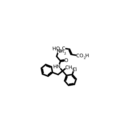 CC(Cc1ccccc1)(NC(=O)CN)c1ccccc1Cl.O=C(O)/C=C/C(=O)O